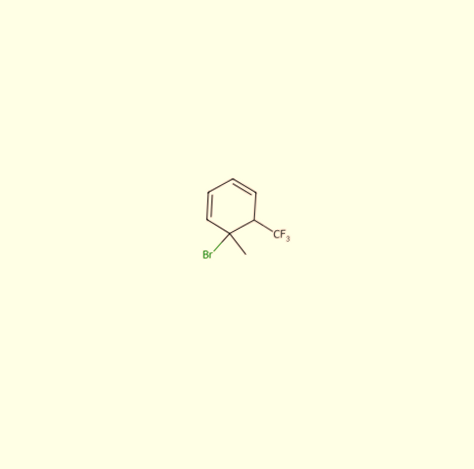 CC1(Br)C=CC=CC1C(F)(F)F